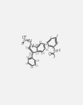 CC(=O)Nc1ccccc1.O=S(=O)=Nn1cc(-c2ccccc2)c2ccccc21